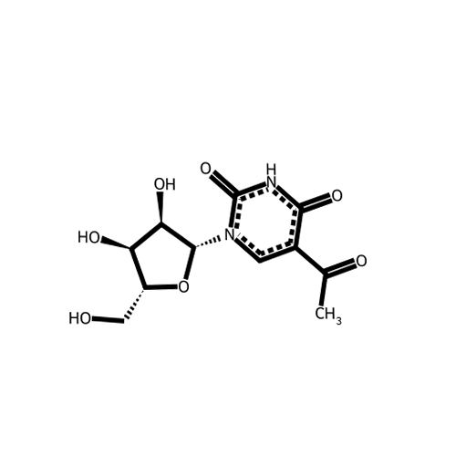 CC(=O)c1cn([C@@H]2O[C@H](CO)[C@@H](O)[C@H]2O)c(=O)[nH]c1=O